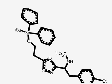 CCc1ccc(CC(NC(=O)O)c2nnc(CCO[Si](c3ccccc3)(c3ccccc3)C(C)(C)C)o2)cc1